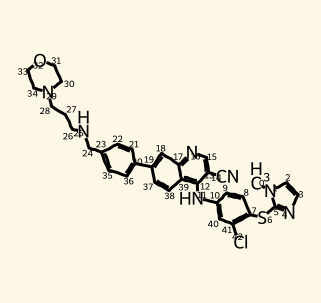 Cn1ccnc1Sc1ccc(Nc2c(C#N)cnc3cc(-c4ccc(CNCCCN5CCOCC5)cc4)ccc23)cc1Cl